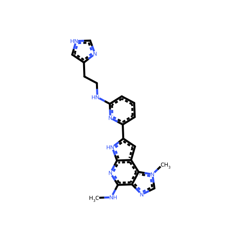 CNc1nc2[nH]c(-c3cccc(NCCc4c[nH]cn4)n3)cc2c2c1ncn2C